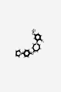 CCOc1ccc(F)c(N2CCCC(Oc3ccc(N4CCCC4)cc3)CC2)c1